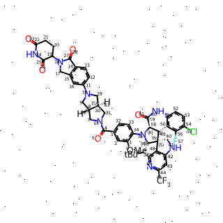 COc1cc(C(=O)N2C[C@@H]3CN(c4ccc5c(c4)CN(C4CCC(=O)NC4=O)C5=O)C[C@H]3C2)ccc1N1[C@@H](CC(C)(C)C)[C@@]2(CNc3cc(C(F)(F)F)ncc32)[C@@H](c2cccc(Cl)c2F)[C@@H]1C(N)=O